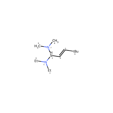 CCN(CC)[SiH](C=CC(C)(C)C)N(C)C